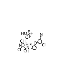 Cc1nc(Cl)c(C(=O)NCc2cccc(Oc3cc(Cl)cc(C#N)c3)c2F)[nH]1.O=C(O)C(F)(F)F